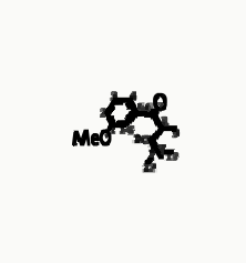 COc1cccc(C(=O)C(C)CN(C)C)c1